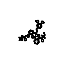 CCC(C)(C)C(=O)C(=O)N1CCCCC1C(=O)O[C@H](CCc1ccc(OC)c(OC)c1)c1cccc(OCC(=O)OC(C)(C)C)c1